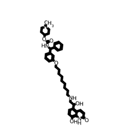 CN1CCC(OC(=O)NC(c2ccccc2)c2cccc(OCCCCCCCCCNCC(O)c3ccc(O)c4[nH]c(=O)ccc34)c2)CC1